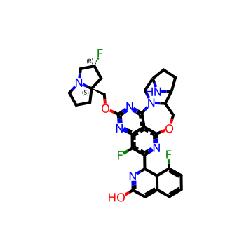 OC1=NC(c2nc3c4c(nc(OC[C@@]56CCCN5C[C@H](F)C6)nc4c2F)N2CC4CCC(N4)C2CO3)C2C(F)=CC=CC2=C1